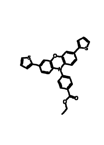 CCOC(=O)c1ccc(N2c3ccc(-c4cccs4)cc3Oc3cc(-c4cccs4)ccc32)cc1